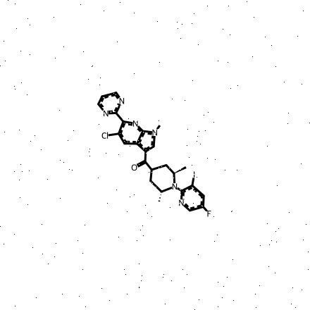 C[C@@H]1CC(C(=O)c2cn(C)c3nc(-c4ncccn4)c(Cl)cc23)C[C@@H](C)N1c1ncc(F)cc1I